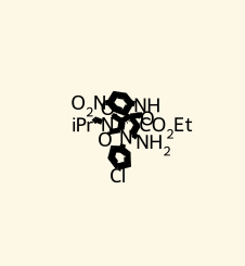 CCOC(=O)C1=C(N)N(c2ccc(Cl)cc2)C2=C(C(=O)N(CC(C)C)C2=O)[C@]12C(=O)Nc1ccc([N+](=O)[O-])cc12